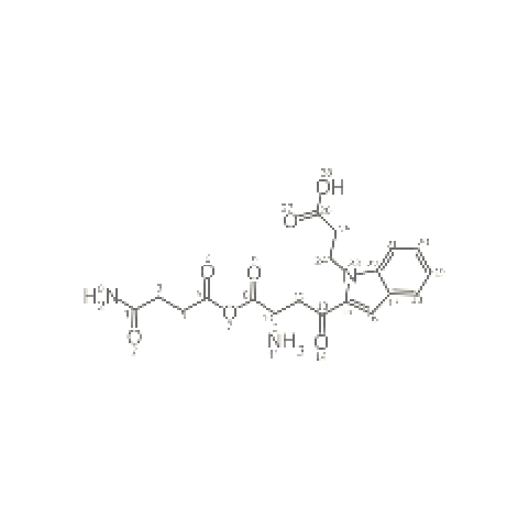 NC(=O)CCC(=O)OC(=O)[C@@H](N)CC(=O)c1cc2ccccc2n1CCC(=O)O